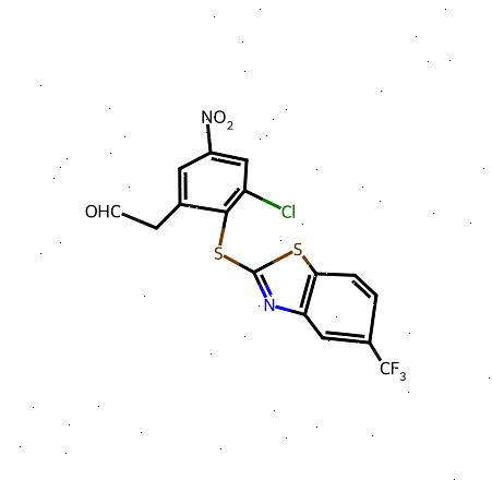 O=CCc1cc([N+](=O)[O-])cc(Cl)c1Sc1nc2cc(C(F)(F)F)ccc2s1